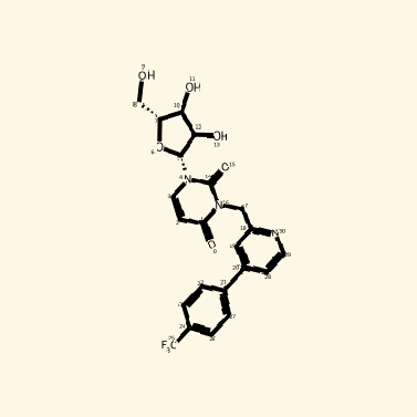 O=c1ccn([C@@H]2O[C@H](CO)C(O)C2O)c(=O)n1Cc1cc(-c2ccc(C(F)(F)F)cc2)ccn1